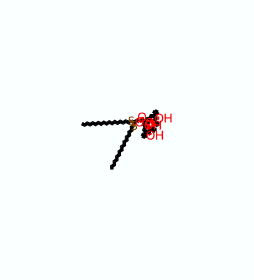 CCCCCCCCCCCCCCCCCCSC(COC(=O)C(Cc1cc(C(C)(C)C)c(O)c(C(C)(C)C)c1)(Cc1cc(C(C)(C)C)c(O)c(C(C)(C)C)c1)C(=O)O)SCCCCCCCCCCCCCCCCCC